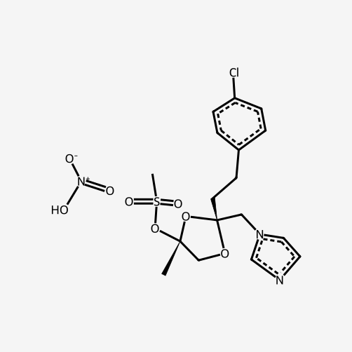 C[C@]1(OS(C)(=O)=O)CO[C@@](CCc2ccc(Cl)cc2)(Cn2ccnc2)O1.O=[N+]([O-])O